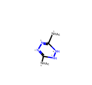 CC(=O)NC1=NN=C(NC(C)=O)NN1